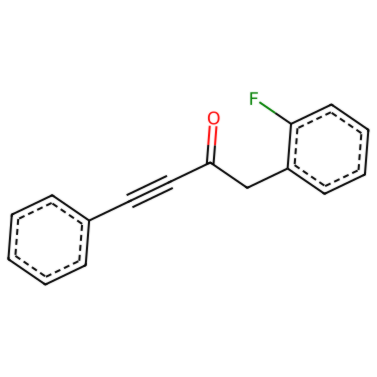 O=C(C#Cc1ccccc1)Cc1ccccc1F